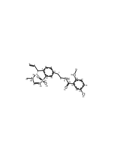 C=CCc1ccc(CCNC(=O)c2cc(Cl)ccc2OC)cc1S(=O)(=O)/N=C\N(C)C